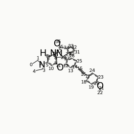 CCN(CC)c1ccc2c(c1)Oc1cc(C#Cc3ccc(OC)cc3)ccc1C21c2ccccc2C(=O)N1N